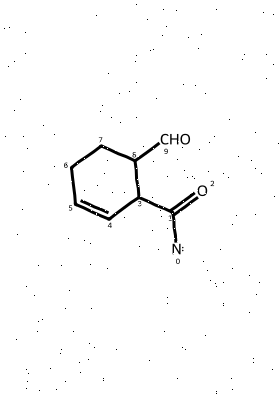 [N]C(=O)C1C=CCCC1C=O